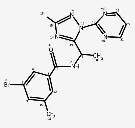 CC(NC(=O)c1cc(Br)cc(C(F)(F)F)c1)c1nc(I)nn1-c1ncccn1